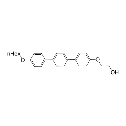 CCCCCCOc1ccc(-c2ccc(-c3ccc(OCCO)cc3)cc2)cc1